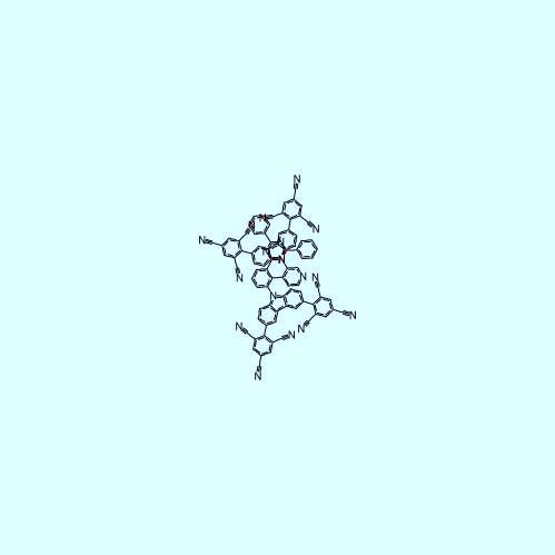 N#Cc1cc(C#N)c(-c2ccc3c(c2)c2cc(-c4c(C#N)cc(C#N)cc4C#N)ccc2n3-c2cnccc2-c2c(-c3nc(-c4ccccc4)nc(-c4ccccc4)n3)cccc2-n2c3ccc(-c4c(C#N)cc(C#N)cc4C#N)cc3c3cc(-c4c(C#N)cc(C#N)cc4C#N)ccc32)c(C#N)c1